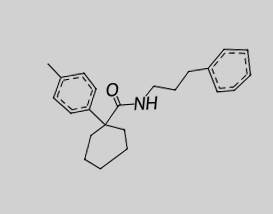 Cc1ccc(C2(C(=O)NCCCc3ccccc3)CCCCC2)cc1